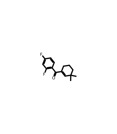 CC1(C)C=C(C(=O)c2ccc(F)cc2F)CCC1